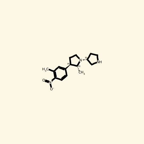 Cc1cc([C@H]2CCN([C@@H]3CCNC3)[C@@H]2C)ccc1[N+](=O)[O-]